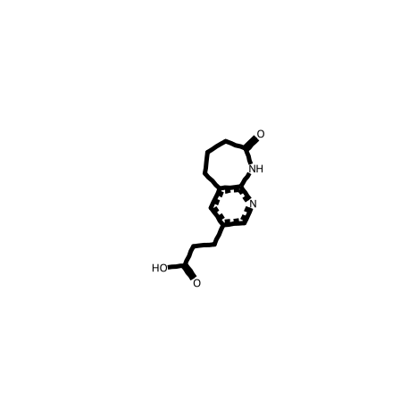 O=C(O)CCc1cnc2c(c1)CCCC(=O)N2